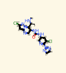 CN[C@@H](C)c1c(NC(=O)Nc2cnc(-n3nccn3)c(Cl)c2)cnc2cc(Cl)nn12